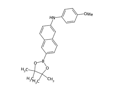 COc1ccc(Nc2ccc3cc(B4OC(C)(C)C(C)(C)O4)ccc3c2)cc1